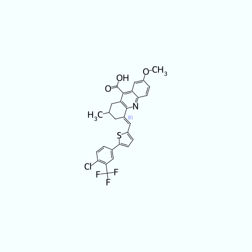 COc1ccc2nc3c(c(C(=O)O)c2c1)CC(C)C/C3=C\c1ccc(-c2ccc(Cl)c(C(F)(F)F)c2)s1